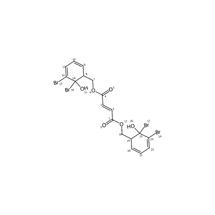 O=C(/C=C/C(=O)OCC1C=CC=C(Br)C1(O)Br)OCC1C=CC=C(Br)C1(O)Br